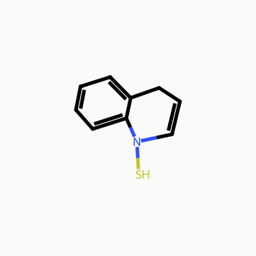 SN1C=CCc2ccccc21